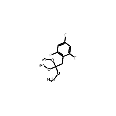 CC(C)OC(Cc1c(F)cc(F)cc1F)(O[SiH3])OC(C)C